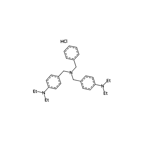 CCN(CC)c1ccc(CN(Cc2ccccc2)Cc2ccc(N(CC)CC)cc2)cc1.Cl